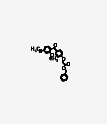 COc1ccc(C(=O)c2ccc(OCC(=O)OCc3ccccc3)cc2)c(OC)c1